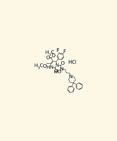 COCC1=C(C(=O)OC)C(c2ccc(F)c(F)c2)N(C(=O)N(O)CCCN2CCC(c3ccccc3)(c3ccccc3)CC2)C(=O)N1.Cl